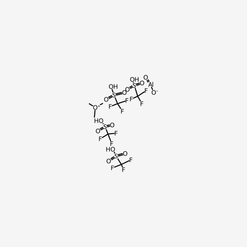 C[O+](C)C.O=S(=O)(O)C(F)(F)F.O=S(=O)(O)C(F)(F)F.O=S(=O)(O)C(F)(F)F.O=S(=O)(O)C(F)(F)F.[O]=[Al][O-]